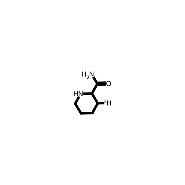 [2H]C1CCCNC1C(N)=O